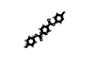 Cc1ccc(OC(=O)c2ccc(C(=O)Oc3ccc(C)cc3)nc2)cc1